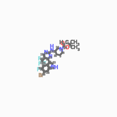 CC(C)(C)OC(=O)N1CCC[C@H](Nc2ncc(C(F)(F)F)c(-c3c[nH]c4cc(Br)c(F)cc34)n2)C1